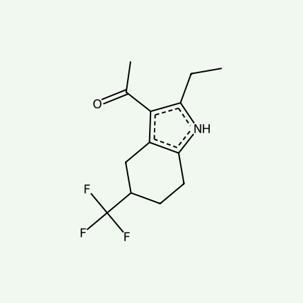 CCc1[nH]c2c(c1C(C)=O)CC(C(F)(F)F)CC2